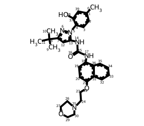 Cc1ccc(-n2nc(C(C)(C)C)cc2NC(=O)Nc2ccc(OCCN3CCOCC3)c3ccccc23)c(O)c1